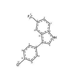 FC(F)(F)c1ccc2[nH]cc(-c3ccc(Cl)cc3)c2c1